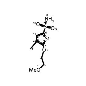 COCCOc1sc(S(N)(=O)=O)cc1C